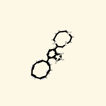 C1=C\C=C/C=C\C(c2ccc(C3CCCCCCCCCC3)c3nsnc23)=C/C=C\C=C/1